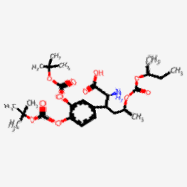 CCC(C)OC(=O)OC(C)CC(c1ccc(OC(=O)OC(C)(C)C)c(OC(=O)OC(C)(C)C)c1)[C@H](N)C(=O)O